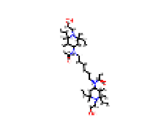 CCC1(C)CC(N(CCCCCCN(C(C)=O)C2CC(C)(CC)N(CCO)C(C)(CC)C2C)C(C)=O)C(C)C(C)(CC)N1CCO